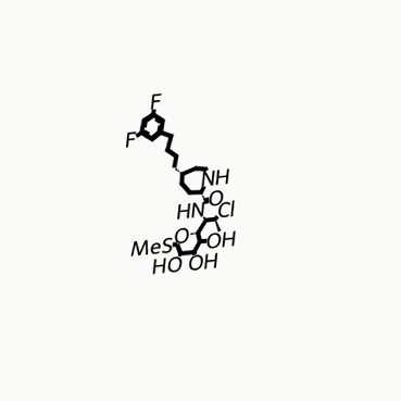 CSC1O[C@H]([C@H](NC(=O)[C@@H]2CC[C@H](CCCCc3cc(F)cc(F)c3)CCN2)[C@H](C)Cl)C(O)C(O)[C@H]1O